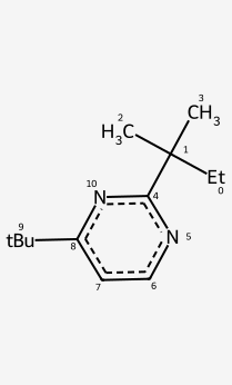 CCC(C)(C)c1nccc(C(C)(C)C)n1